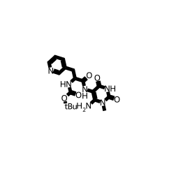 Cn1c(N)c(NC(=O)C(Cc2cccnc2)NC(=O)OC(C)(C)C)c(=O)[nH]c1=O